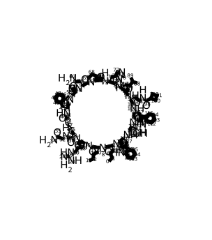 CCCC[C@H]1C(=O)N(C)[C@@H](CCCC)C(=O)N[C@@H](CCCNC(=N)N)C(=O)N[C@H](C(=O)NCC(N)=O)CSCC(=O)N[C@@H](Cc2ccccc2)C(=O)N(C)[C@@H](C)C(=O)N[C@@H](CC(N)=O)C(=O)N2CCC[C@H]2C(=O)N[C@@H](Cc2cnc[nH]2)C(=O)N[C@@H](CCC(C)C)C(=O)N[C@@H](CCNC(=O)C2CCC2)C(=O)N[C@@H](Cc2c[nH]c3ccccc23)C(=O)N[C@@H](CO)C(=O)N[C@@H](Cc2c[nH]c3ccccc23)C(=O)N1C